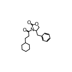 O=C(CCC1CCCCC1)N1C(=O)OCC1Cc1ccccc1